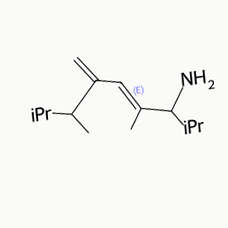 C=C(/C=C(\C)C(N)C(C)C)C(C)C(C)C